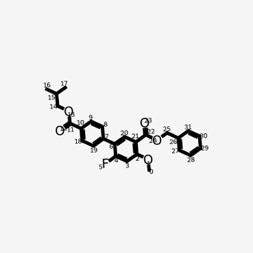 COc1cc(F)c(-c2ccc(C(=O)OCC(C)C)cc2)cc1C(=O)OCc1ccccc1